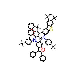 CC(C)(C)c1ccc(N2B3c4cc5oc(-c6ccccc6)c(-c6ccccc6)c5cc4N(c4ccc(C(C)(C)C)cc4-c4ccccc4)c4cc5c(c(c43)-c3cc4c(cc32)sc2cc3c(cc24)C(C)(C)CCC3(C)C)C(C)(C)c2ccccc2-5)cc1